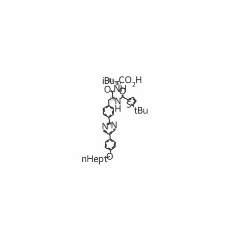 CCCCCCCOc1ccc(-c2cnc(-c3ccc(C[C@H](NC(=O)c4ccc(C(C)(C)C)s4)C(=O)N[C@H](C(=O)O)[C@H](C)CC)cc3)nc2)cc1